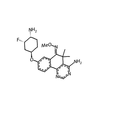 CO/N=C1\c2cc(O[C@@H]3CC[C@@H](N)[C@@H](F)C3)ccc2-c2ncnc(N)c2C1(C)C